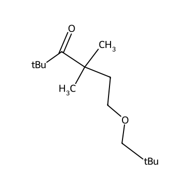 CC(C)(C)COCCC(C)(C)C(=O)C(C)(C)C